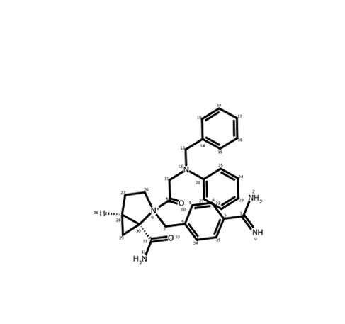 N=C(N)c1ccc(C[N+]2(C(=O)CN(Cc3ccccc3)c3ccccc3)CC[C@@H]3C[C@@]32C(N)=O)cc1